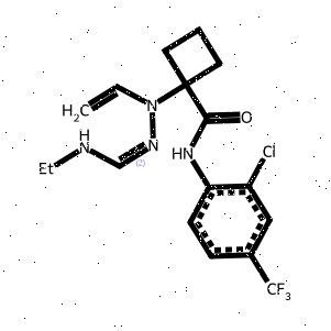 C=CN(/N=C\NCC)C1(C(=O)Nc2ccc(C(F)(F)F)cc2Cl)CCC1